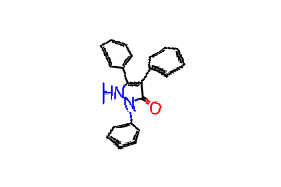 O=c1c(-c2ccccc2)c(-c2ccccc2)[nH]n1-c1ccccc1